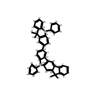 CC1(C)c2ccccc2-c2cc3c4cc(-c5ccc6c(c5)C(C)(C)c5ccccc5N6c5ccccc5)ccc4n(-c4ccccc4)c3cc21